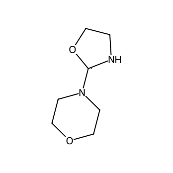 C1CO[C](N2CCOCC2)N1